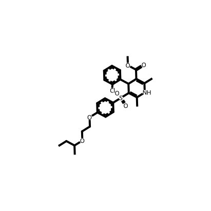 CCC(C)OCCOc1ccc(S(=O)(=O)C2=C(C)NC(C)=C(C(=O)OC)C2c2ccccc2Cl)cc1